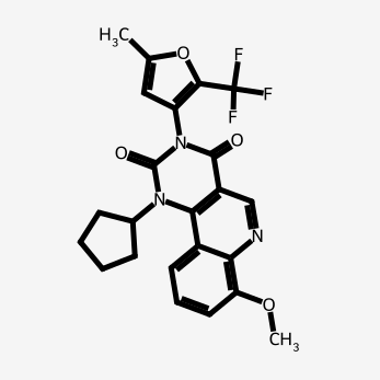 COc1cccc2c1ncc1c(=O)n(-c3cc(C)oc3C(F)(F)F)c(=O)n(C3CCCC3)c12